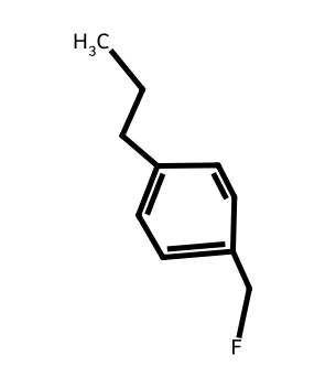 CCCc1ccc(CF)cc1